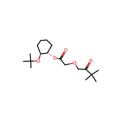 CC(C)(C)O[C@H]1CCCC[C@@H]1OC(=O)COCC(=O)C(C)(C)C